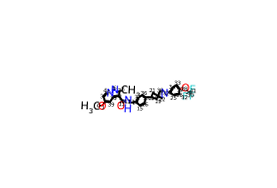 COc1ccn2nc(C)c(C(=O)NCc3ccc(C4CC5(C4)CN(c4ccc(OC(F)(F)F)cc4)C5)cc3)c2c1